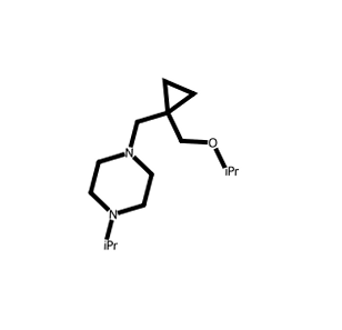 CC(C)OCC1(CN2CCN(C(C)C)CC2)CC1